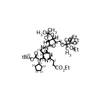 CCOC(=O)CCc1nc(N(C(=O)OC(C)(C)C)C2CCCC2)c2cnn([C@@H]3O[C@H](COC(C)(C(=O)OCC)P(=O)(OCC)OCC)[C@H]4OC(C)(C)O[C@H]43)c2n1